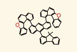 CC1(C)c2ccccc2-c2cccc(-c3c4cccc(-c5cccc6ccc7oc8ccccc8c7c56)c4cc4c(-c5cccc6ccc7oc8ccccc8c7c56)cccc34)c21